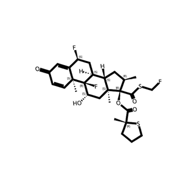 C[C@@H]1C[C@H]2[C@@H]3C[C@H](F)C4=CC(=O)C=C[C@]4(C)[C@@]3(F)[C@@H](O)C[C@]2(C)[C@@]1(OC(=O)[C@@]1(C)CCCS1)C(=O)SCF